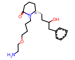 NCCOCCCCN1C(=O)CCC[C@@H]1CCC(O)Cc1ccccc1